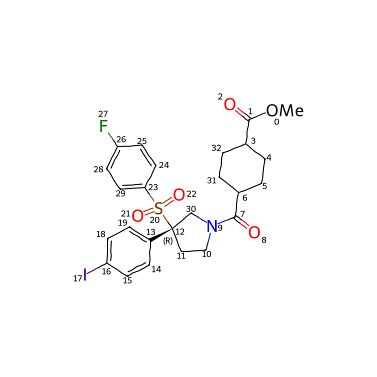 COC(=O)C1CCC(C(=O)N2CC[C@](c3ccc(I)cc3)(S(=O)(=O)c3ccc(F)cc3)C2)CC1